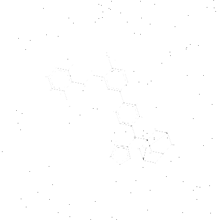 Nc1ncc(-c2ccc([C](c3ccc[nH]3)C34CC5CC(CC(C5)C3)C4)cc2)cc1OCc1c(F)cccc1F